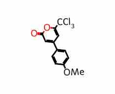 COc1ccc(-c2cc(C(Cl)(Cl)Cl)oc(=O)c2)cc1